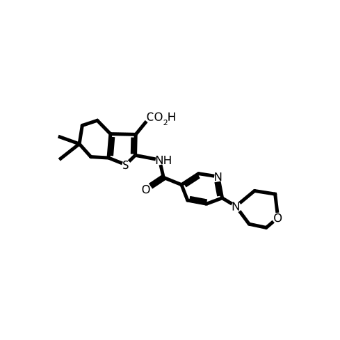 CC1(C)CCc2c(sc(NC(=O)c3ccc(N4CCOCC4)nc3)c2C(=O)O)C1